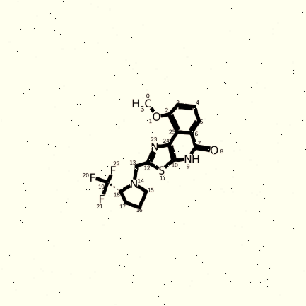 COc1cccc2c(=O)[nH]c3sc(CN4CCC[C@@H]4C(F)(F)F)nc3c12